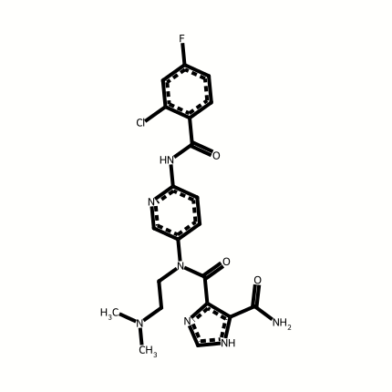 CN(C)CCN(C(=O)c1nc[nH]c1C(N)=O)c1ccc(NC(=O)c2ccc(F)cc2Cl)nc1